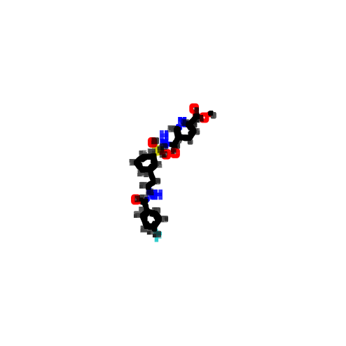 COC(=O)c1ccc(C(=O)NS(=O)(=O)c2cccc(CCNC(=O)c3ccc(F)cc3)c2)cn1